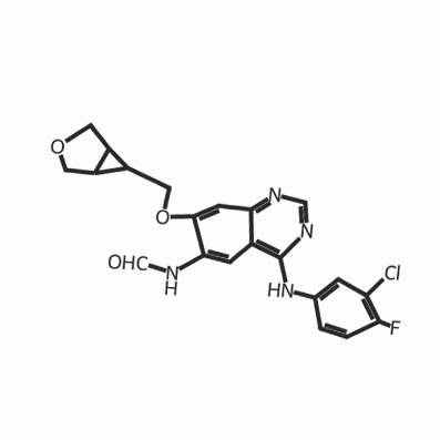 O=CNc1cc2c(Nc3ccc(F)c(Cl)c3)ncnc2cc1OCC1C2COCC21